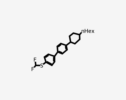 CCCCCCC1CCC(c2ccc(-c3ccc(SC(F)F)cc3)cc2)CC1